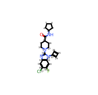 O=C(NC1CCCC1)C1CCN(c2nc3cc(Cl)c(F)cc3n2C2=CC=C2)CC1